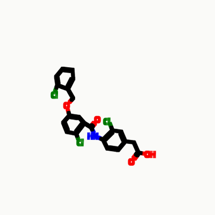 O=C(O)Cc1ccc(NC(=O)c2cc(OCc3ccccc3Cl)ccc2Cl)c(Cl)c1